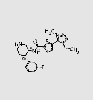 CCc1cnn(C)c1-c1ccc(C(=O)N[C@@H]2CNCC[C@H]2c2cccc(F)c2)s1